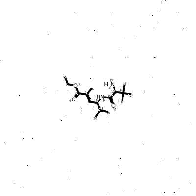 CCOC(=O)/C(C)=C/[C@@H](NC(=O)[C@@H](N)C(C)(C)C)C(C)C